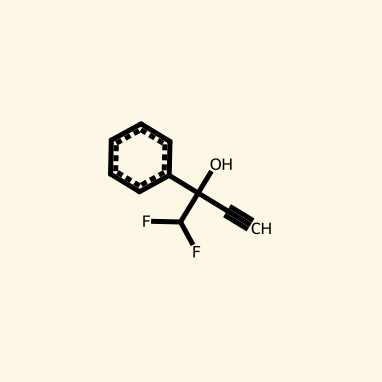 C#CC(O)(c1ccccc1)C(F)F